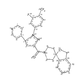 O=C(c1cc(-c2ccncc2)n(-c2ccc(C(F)(F)F)c(F)c2)n1)N1CCC2(CC1)OCc1ccccc12